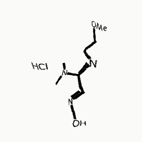 COCCN=C(C=NO)N(C)C.Cl